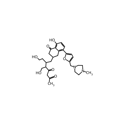 CC(=O)CC(=O)C(CO)C(CCO)CC1CC(=O)c2c(O)ccc(-c3ccc(CN4CCN(C)CC4)o3)c2C1